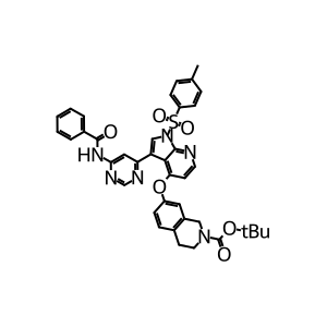 Cc1ccc(S(=O)(=O)n2cc(-c3cc(NC(=O)c4ccccc4)ncn3)c3c(Oc4ccc5c(c4)CN(C(=O)OC(C)(C)C)CC5)ccnc32)cc1